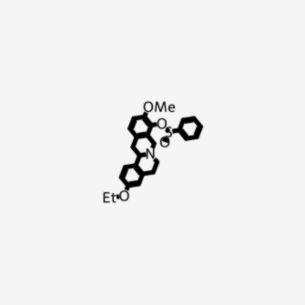 CCOc1ccc2c(c1)CCN1Cc3c(ccc(OC)c3OS(=O)c3ccccc3)CC21